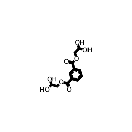 O=C(OCC(O)O)c1cccc(C(=O)OCC(O)O)c1